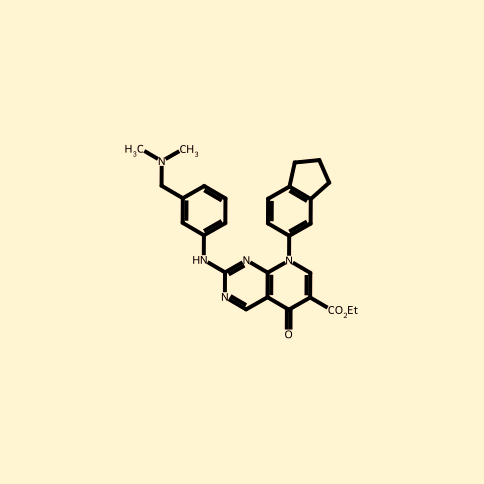 CCOC(=O)c1cn(-c2ccc3c(c2)CCC3)c2nc(Nc3cccc(CN(C)C)c3)ncc2c1=O